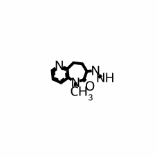 CN1C(=O)C(N=N)CCc2ncccc21